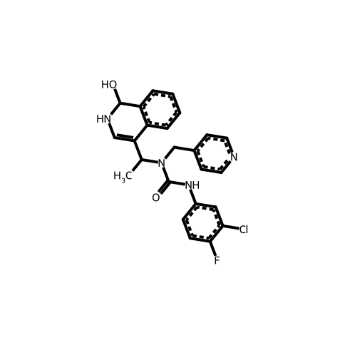 CC(C1=CNC(O)c2ccccc21)N(Cc1ccncc1)C(=O)Nc1ccc(F)c(Cl)c1